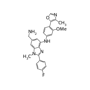 COc1cc(Nc2cc(CN)cc3c2nc(-c2ccc(F)cc2)n3C)ccc1-c1ocnc1C